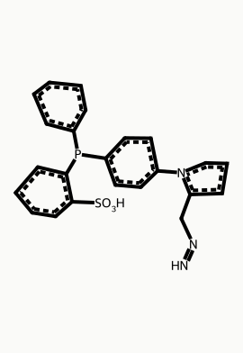 N=NCc1cccn1-c1ccc(P(c2ccccc2)c2ccccc2S(=O)(=O)O)cc1